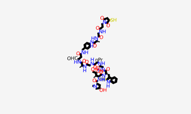 CCCC(NC(=O)CNC(=O)[C@@H](Cc1c(S)[nH]c2ccccc12)NC(=O)C(NC(=O)[C@@H]1C[C@@H](O)CN1C)[C@@H](C)[C@@H](O)CO)C(=O)NCC(=O)N[C@@H](C)C(=O)N[C@H](C=O)CC(=O)NCc1ccc(NC(=O)[C@H](C)NC(=O)CNC(=O)CCN2C(=O)CC(S)C2=O)cc1